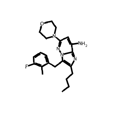 CCCCc1nc2c(N)cc(N3CCOCC3)nn2c1Cc1cccc(F)c1C